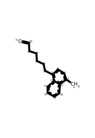 Cc1ccc(CCCCC[C]=O)c2ccccc12